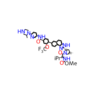 COC(=O)N[C@H](C(=O)N1C[C@@H](C)C[C@H]1c1nc2c(ccc3cc(-c4ccc(C(=O)Nc5ccc(N6CCNCC6C)nc5)cc4OC(F)(F)F)ccc32)[nH]1)C(C)C